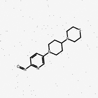 O=Nc1ccc(N2CCC(N3CCSCC3)CC2)cn1